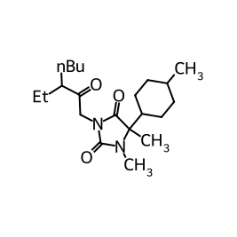 CCCCC(CC)C(=O)CN1C(=O)N(C)C(C)(C2CCC(C)CC2)C1=O